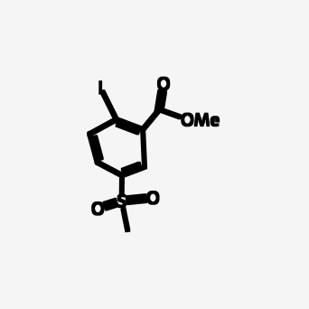 COC(=O)c1cc(S(C)(=O)=O)ccc1I